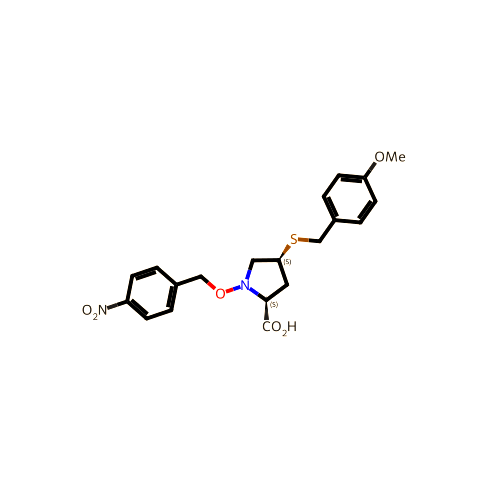 COc1ccc(CS[C@H]2C[C@@H](C(=O)O)N(OCc3ccc([N+](=O)[O-])cc3)C2)cc1